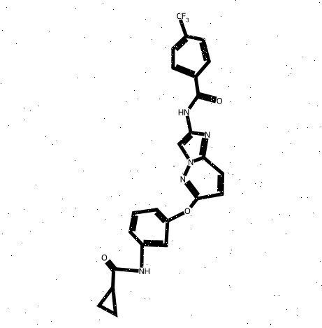 O=C(Nc1cn2nc(Oc3cccc(NC(=O)C4CC4)c3)ccc2n1)c1ccc(C(F)(F)F)cc1